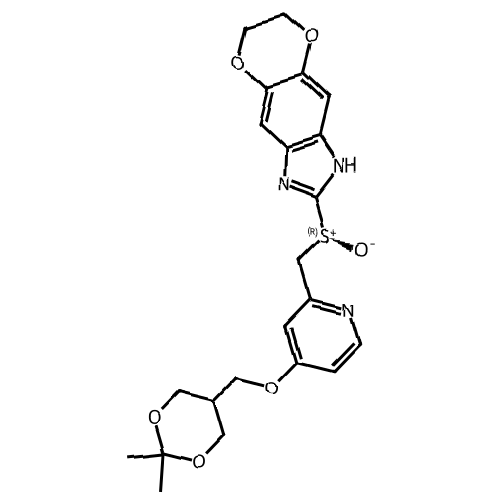 CC1(C)OCC(COc2ccnc(C[S@+]([O-])c3nc4cc5c(cc4[nH]3)OCCO5)c2)CO1